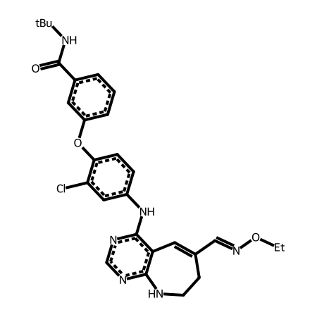 CCO/N=C/C1=Cc2c(ncnc2Nc2ccc(Oc3cccc(C(=O)NC(C)(C)C)c3)c(Cl)c2)NCC1